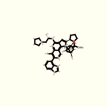 COC(=O)N1CCC[C@@H]1c1cc2c(O[C@@H](C)CN3CCCC3)nc3c(F)c(-c4cccc5scnc45)ncc3c2n1[C@H]1[C@H]2CN[C@@H]1C2